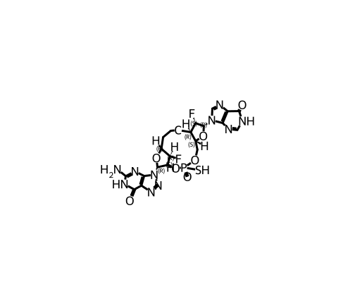 Nc1nc2c(nnn2[C@@H]2O[C@@H]3CCC[C@H]4[C@H](F)[C@H](n5cnc6c(=O)[nH]cnc65)O[C@@H]4COP(=O)(S)O[C@@H]2[C@@H]3F)c(=O)[nH]1